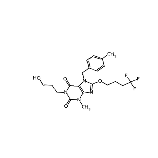 Cc1ccc(Cn2c(OCCCC(F)(F)F)nc3c2c(=O)n(CCCO)c(=O)n3C)cc1